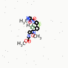 CCOC(=O)C1CN([C@@H]2CCc3cc(C4C=CC(F)=C(c5c(F)ccc(NC(=O)c6ccnn(C)c6=O)c5C)C4Cl)nc(OC)c32)C1